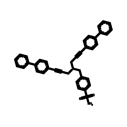 NS(=O)(=O)c1ccc(CN(CC#Cc2ccc(-c3ccccc3)cc2)CC#Cc2ccc(-c3ccccc3)cc2)cc1